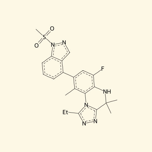 CCc1nnc2n1-c1c(C)c(-c3cccc4c3cnn4S(C)(=O)=O)cc(F)c1NC2(C)C